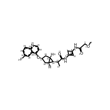 COCC(=O)NC12CC(NC(=O)C(C)[C@H]3[C@@H]4C[C@@H](Oc5ccnc6ccc(F)cc56)C[C@@H]43)(C1)C2